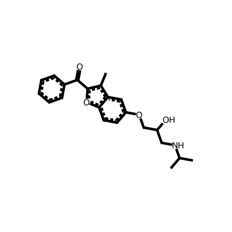 Cc1c(C(=O)c2ccccc2)oc2ccc(OCC(O)CNC(C)C)cc12